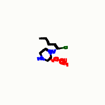 C1CNCCN1.CCCCCCl.O.O